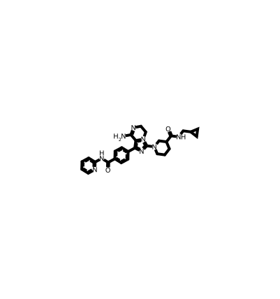 NC1=NCCn2c(N3CCCC(C(=O)NCC4CC4)C3)nc(-c3ccc(C(=O)Nc4ccccn4)cc3)c21